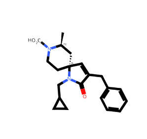 C[C@H]1C[C@@]2(C=C(Cc3ccccc3)C(=O)N2CC2CC2)CCN1C(=O)O